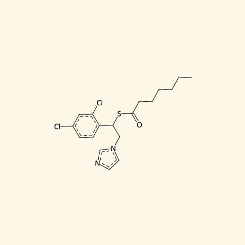 CCCCCCC(=O)SC(Cn1ccnc1)c1ccc(Cl)cc1Cl